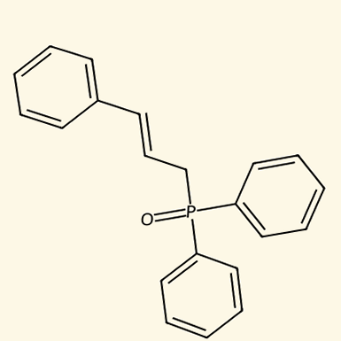 O=P(CC=Cc1ccccc1)(c1ccccc1)c1ccccc1